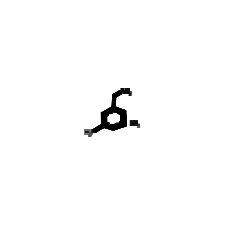 B.NCc1cccc(P)c1